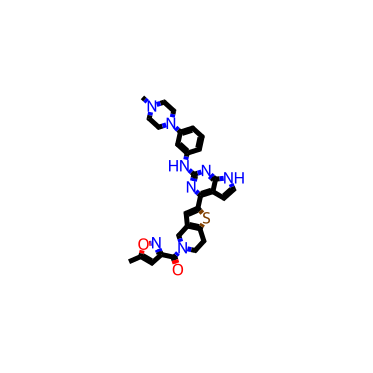 Cc1cc(C(=O)N2CCc3sc(-c4nc(Nc5cccc(N6CCN(C)CC6)c5)nc5[nH]ccc45)cc3C2)no1